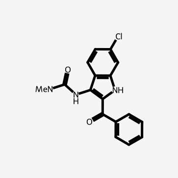 CNC(=O)Nc1c(C(=O)c2ccccc2)[nH]c2cc(Cl)ccc12